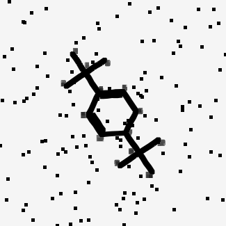 CC(C)(C)C1=CCC(C(C)(C)C)C=C1